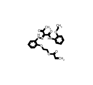 C=CC(=O)OCCOc1ccccc1N/N=C(\C(C)=O)C(=O)Nc1ccccc1OCC